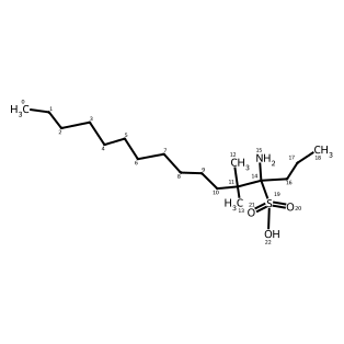 CCCCCCCCCCCC(C)(C)C(N)(CCC)S(=O)(=O)O